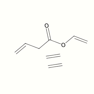 C=C.C=C.C=CCC(=O)OC=C